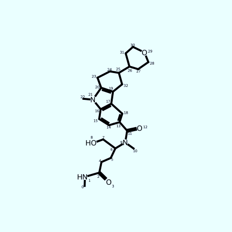 CNC(=O)CCC(CO)N(C)C(=O)c1ccc2c(c1)c1c(n2C)CCC(C2CCOCC2)C1